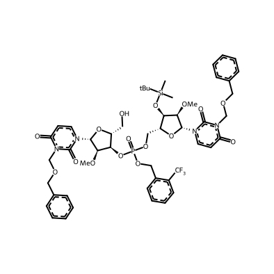 CO[C@@H]1[C@H](O[Si](C)(C)C(C)(C)C)[C@@H](COP(=O)(OCc2ccccc2C(F)(F)F)O[C@H]2[C@@H](OC)[C@H](n3ccc(=O)n(COCc4ccccc4)c3=O)O[C@@H]2CO)O[C@H]1n1ccc(=O)n(COCc2ccccc2)c1=O